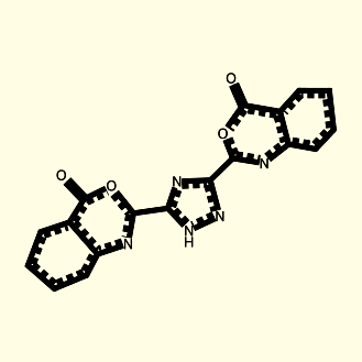 O=c1oc(-c2n[nH]c(-c3nc4ccccc4c(=O)o3)n2)nc2ccccc12